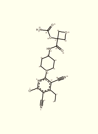 CCc1c(C#N)c(Cl)nc(N2CCC(NC(=O)C3(OC(N)=O)COC3)CC2)c1C#N